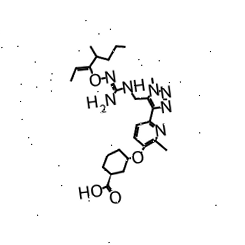 C/C=C(\O/N=C(\N)NCc1c(-c2ccc(O[C@H]3CCC[C@H](C(=O)O)C3)c(C)n2)nnn1C)C(C)CCC